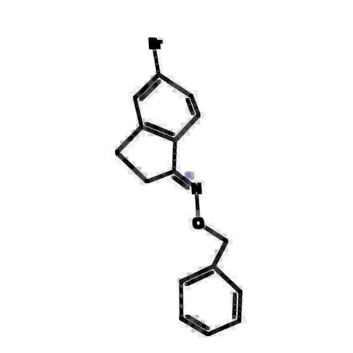 Brc1ccc2c(c1)CC/C2=N\OCc1ccccc1